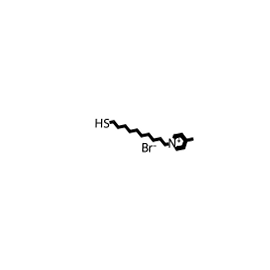 Cc1cc[n+](CCCCCCCCCCS)cc1.[Br-]